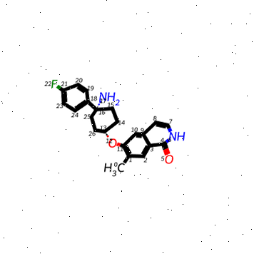 Cc1cc2c(=O)[nH]ccc2cc1O[C@H]1CC[C@](N)(c2ccc(F)cc2)CC1